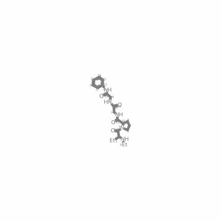 CCNC(CC)C(=O)N1CCCC1C(=O)NCC(=O)NCC(=O)Nc1ccccc1